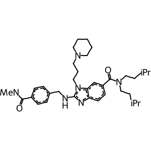 CNC(=O)c1ccc(CNc2nc3ccc(C(=O)N(CCC(C)C)CCC(C)C)cc3n2CCCN2CCCCC2)cc1